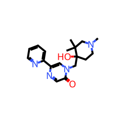 CN1CCC(O)(Cn2cc(-c3ccccn3)ncc2=O)C(C)(C)C1